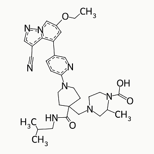 CCOc1cc(-c2ccc(N3CCC(CN4CCN(C(=O)O)C(C)C4)(C(=O)NCC(C)C)CC3)nc2)c2c(C#N)cnn2c1